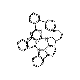 C1=CC2c3ccc4c5ccccc5n(-c5ccccc5)c4c3N(c3nc(-c4ccccc4)nc(-c4ccccc4-c4ccccc4)n3)C2C=C1